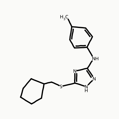 Cc1ccc(Nc2n[nH]c(SCC3CCCCC3)n2)cc1